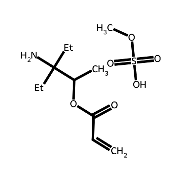 C=CC(=O)OC(C)C(N)(CC)CC.COS(=O)(=O)O